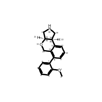 COc1ccccc1-c1cccc2c1CO[C@H]1CNC[C@@H]21